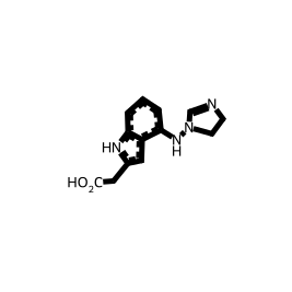 O=C(O)Cc1cc2c(NN3C=NCC3)cccc2[nH]1